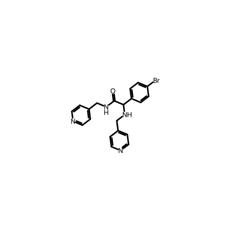 O=C(NCc1ccncc1)C(NCc1ccncc1)c1ccc(Br)cc1